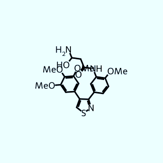 COc1ccc(-c2nscc2-c2cc(OC)c(OC)c(OC)c2)cc1NC(=O)CC(N)O